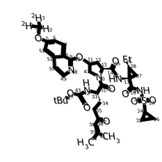 [2H]C([2H])([2H])Oc1ccc2c(OC3C[C@@H](C(=O)N[C@]4(C(=O)NS(=O)(=O)C5CC5)C[C@H]4CC)N(C(=O)[C@H](CCC(=O)C=C(C)C)NC(=O)OC(C)(C)C)C3)nccc2c1